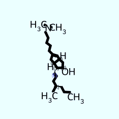 CCCC[C@@H](CC)C/C=C/[C@@H]1[C@H]2CC(CCCCCN(C)C)=C[C@H]2C[C@H]1O